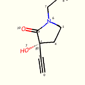 C#C[C@]1(O)CCN(CC(F)(F)F)C1=O